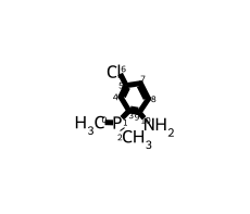 CP(C)c1cc(Cl)ccc1N